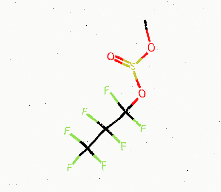 COS(=O)OC(F)(F)C(F)(F)C(F)(F)F